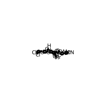 COC(=O)[C@H](Cc1ccc(-c2ccc(C#N)cc2)cc1)NC(=O)C1Cc2cc3c(cc2CN1C(=O)OC(C)C)OC(c1ccc(OCc2ccc(Cl)c(Cl)c2)cc1)C(=O)N3